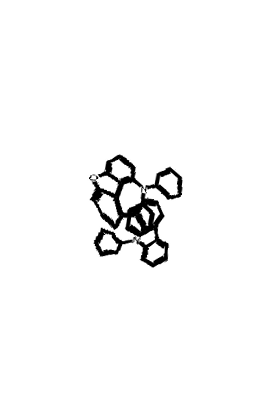 c1ccc(N(c2ccccc2)c2cccc3oc4cccc(-c5cccc6c7ccccc7n(-c7ccccc7)c56)c4c23)cc1